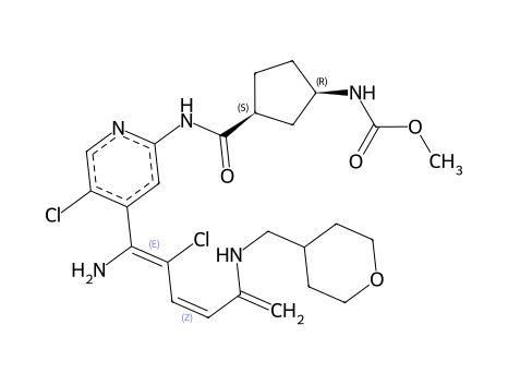 C=C(/C=C\C(Cl)=C(/N)c1cc(NC(=O)[C@H]2CC[C@@H](NC(=O)OC)C2)ncc1Cl)NCC1CCOCC1